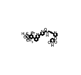 CC(C)c1cc(-c2cccc3cc(-c4ccc(C(=O)NCC#Cc5cc(OC6CCC(=O)NC6=O)ccn5)nc4)ncc23)cc2c1n(C)c(=O)n2C